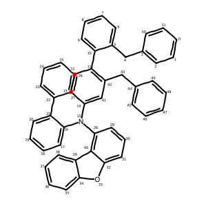 c1ccc(Cc2ccccc2-c2ccc(N(c3ccccc3-c3ccccc3)c3cccc4oc5ccccc5c34)cc2Cc2ccccc2)cc1